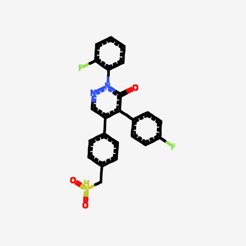 O=c1c(-c2ccc(F)cc2)c(-c2ccc(C[SH](=O)=O)cc2)cnn1-c1ccccc1F